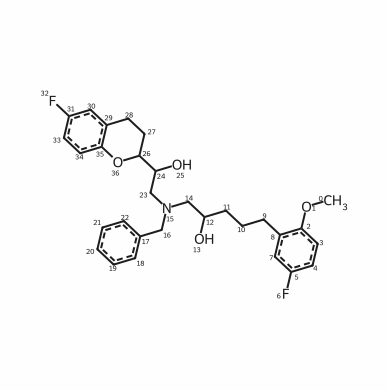 COc1ccc(F)cc1CCCC(O)CN(Cc1ccccc1)CC(O)C1CCc2cc(F)ccc2O1